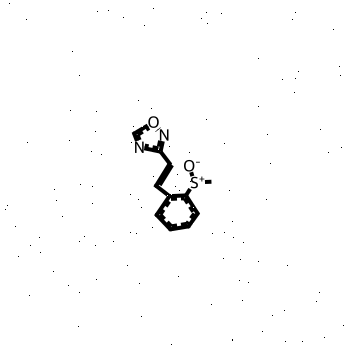 C[S+]([O-])c1ccccc1C=Cc1ncon1